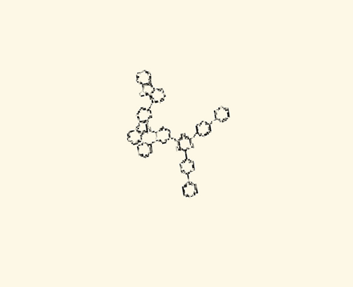 c1ccc(-c2ccc(-c3nc(-c4ccc(-c5ccccc5)cc4)nc(-c4ccc(-n5c6ccccc6c6ccc(-c7cccc8c7oc7ccccc78)cc65)c(-c5ccccc5)c4)n3)cc2)cc1